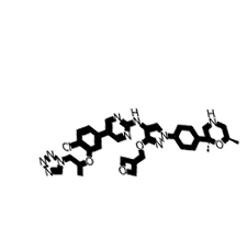 CC(Cn1cnnn1)Oc1cc(-c2cnc(Nc3cn(C4CCC([C@@]5(C)CNC[C@@H](C)O5)CC4)nc3OCC3COC3)nc2)ccc1Cl